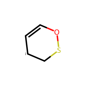 [C]1C=COSC1